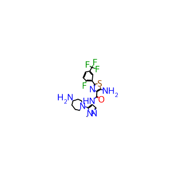 Cn1ncc(NC(=O)c2nc(-c3cc(C(F)(F)F)ccc3F)sc2N)c1N1CCCC(N)CC1